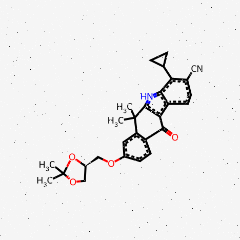 CC1(C)OC[C@H](COc2ccc3c(c2)C(C)(C)c2[nH]c4c(C5CC5)c(C#N)ccc4c2C3=O)O1